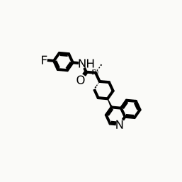 C[C@@H](C(=O)Nc1ccc(F)cc1)[C@H]1CC[C@H](c2ccnc3ccccc32)CC1